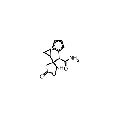 NC(=O)C(c1cccs1)C1(C2CC2)CC(=O)ON1